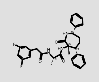 C[C@H](NC(=O)Cc1cc(F)cc(F)c1)C(=O)N[C@]1(C)C(=O)N[C@H](c2ccccc2)CC[C@@H]1c1ccccc1